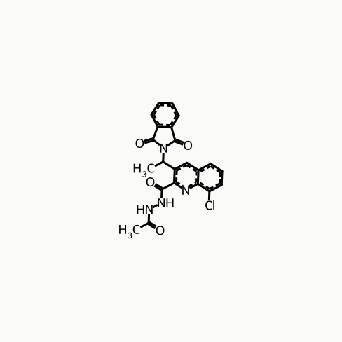 CC(=O)NNC(=O)c1nc2c(Cl)cccc2cc1C(C)N1C(=O)c2ccccc2C1=O